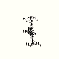 CC(C)CCCCOC(=O)CC(C(=O)OCCCCC(C)C)S(=O)(=O)O